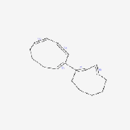 [C]1=C(/C2=C\C=C\CCCCC2)\C=C/C=C\CCC/1